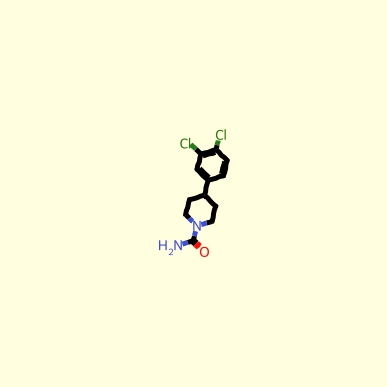 NC(=O)N1CC[C](c2ccc(Cl)c(Cl)c2)CC1